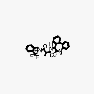 CC(C(=O)NCc1ccccc1C(F)(F)F)C(=O)NC1C(=O)N(C)c2ccccc2-c2ccccc21